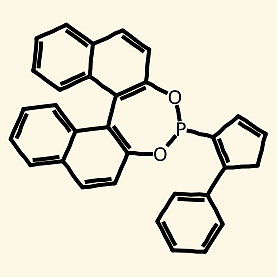 C1=CC(p2oc3ccc4ccccc4c3c3c(ccc4ccccc43)o2)=C(c2ccccc2)C1